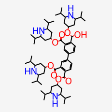 CC(C)C1CC(OC(=O)c2ccc(-c3ccc(C(O)OC4CC(C(C)C)NC(C(C)C)C4)c(C(=O)OC4CC(C(C)C)NC(C(C)C)C4)c3)cc2C(=O)OC2CC(C(C)C)NC(C(C)C)C2)CC(C(C)C)N1